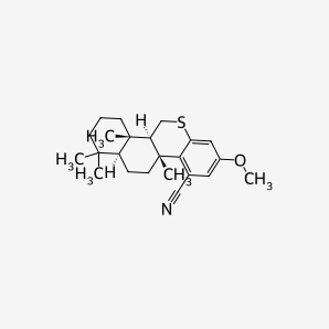 COc1cc(C#N)c2c(c1)SC[C@@H]1[C@@]3(C)CCCC(C)(C)[C@@H]3CC[C@@]21C